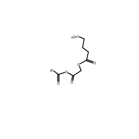 CCCCCCCCCCCC(=O)OCC(=O)OC(=O)CC